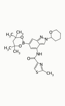 Cc1nc(C(=O)Nc2cc(B3OC(C)(C)CC(C)(C)O3)cc3nn(C4CCCCO4)cc23)cs1